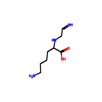 N=CCNC(CCCCN)C(=O)O